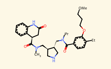 CCc1ccc(C(=O)N(C[C@@H]2CNC[C@H]2CN(C)C(=O)[C@@H]2CC(=O)Nc3ccccc32)C(C)C)cc1OCCCOC